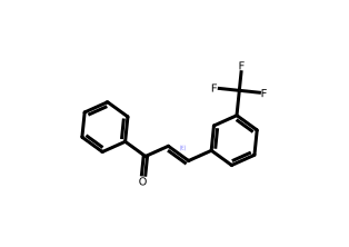 O=C(/C=C/c1cccc(C(F)(F)F)c1)c1ccccc1